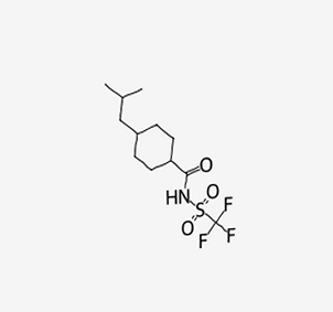 CC(C)CC1CCC(C(=O)NS(=O)(=O)C(F)(F)F)CC1